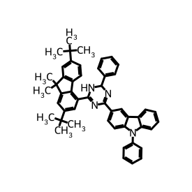 CC(C)(C)c1ccc2c(c1)C(C)(C)c1cc(C(C)(C)C)cc(C3=NC(c4ccc5c(c4)c4ccccc4n5-c4ccccc4)=NC(c4ccccc4)N3)c1-2